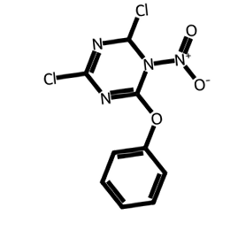 O=[N+]([O-])N1C(Oc2ccccc2)=NC(Cl)=NC1Cl